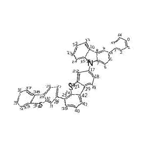 c1ccc(-c2ccc3c(c2)c2ccccc2n3-c2ccc3c(c2)sc2c(-c4ccc5c(c4)sc4ccccc45)cccc23)cc1